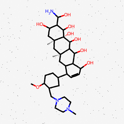 COC1CCC(C2C=CC(O)C3C(O)C4C(O)[C@]5(O)C(O)C(C(N)O)C(O)C[C@]5(C)C[C@]4(C)CC23)CC1CN1CCN(C)CC1